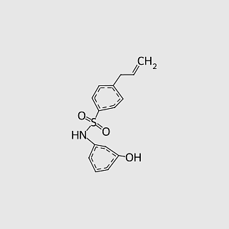 C=CCc1ccc(S(=O)(=O)Nc2cccc(O)c2)cc1